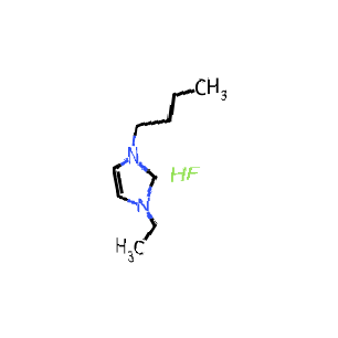 CCCCN1C=CN(CC)C1.F